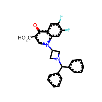 O=C(O)c1cn(C2CN(C(c3ccccc3)c3ccccc3)C2)c2cc(F)c(F)cc2c1=O